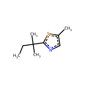 CCC(C)(C)c1ncc(C)s1